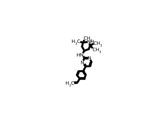 C=Cc1ccc(-c2ccnc(NC3CC(C)(C)NC(C)(C)C3)n2)cc1